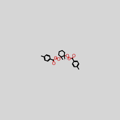 [CH2]C1(OOC(=O)c2ccc(C)cc2)CCCCC1([CH2])OOC(=O)c1ccc(C)cc1